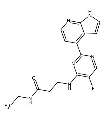 O=C(CCNc1nc(-c2ccnc3[nH]ccc23)ncc1F)NCC(F)(F)F